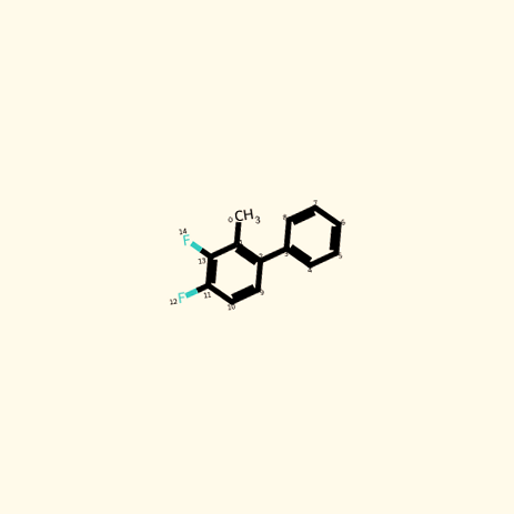 Cc1c(-c2ccccc2)ccc(F)c1F